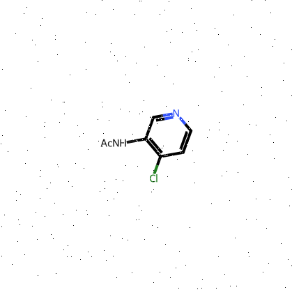 CC(=O)Nc1[c]nccc1Cl